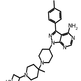 Cc1ccc(-c2nn(C3CCN(C4(C)CCN(C5CNC5)CC4)CC3)c3ncnc(N)c23)cc1